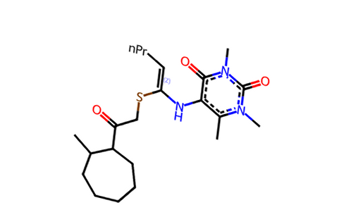 CCC/C=C(/Nc1c(C)n(C)c(=O)n(C)c1=O)SCC(=O)C1CCCCCC1C